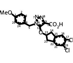 COc1ccc(Cn2nnc(C(=O)O)c2OC2Cc3cc(Cl)c(Cl)cc3C2)cc1